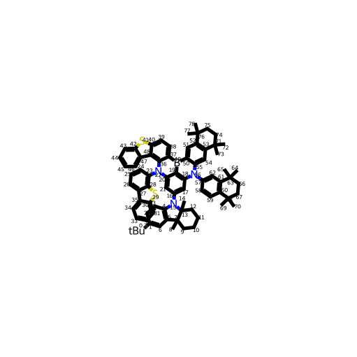 CC(C)(C)c1ccc2c(c1)C1(C)CCCCC1(C)N2c1cc2c3c(c1)N(c1cccc4c1sc1ccccc14)c1c(ccc4sc5ccccc5c14)B3c1cc3c(cc1N2c1ccc2c(c1)C(C)(C)CCC2(C)C)C(C)(C)CCC3(C)C